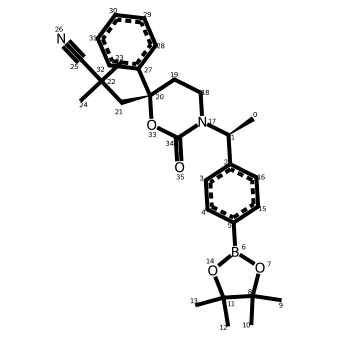 C[C@@H](c1ccc(B2OC(C)(C)C(C)(C)O2)cc1)N1CC[C@@](CC(C)(C)C#N)(c2ccccc2)OC1=O